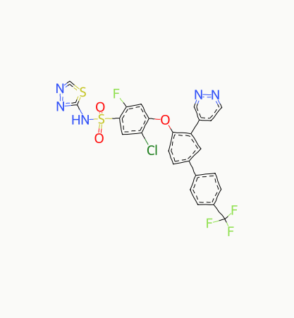 O=S(=O)(Nc1nncs1)c1cc(Cl)c(Oc2ccc(-c3ccc(C(F)(F)F)cc3)cc2-c2ccnnc2)cc1F